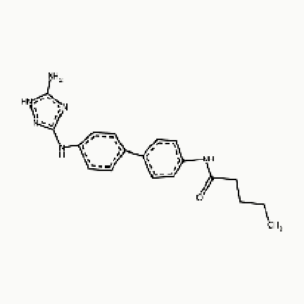 CCCCC(=O)Nc1ccc(-c2ccc(Nc3n[nH]c(N)n3)cc2)cc1